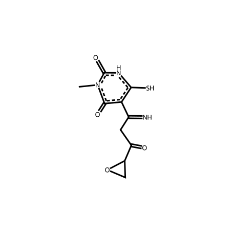 Cn1c(=O)[nH]c(S)c(C(=N)CC(=O)C2CO2)c1=O